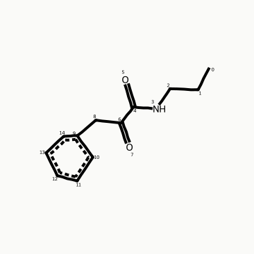 CCCNC(=O)C(=O)Cc1ccccc1